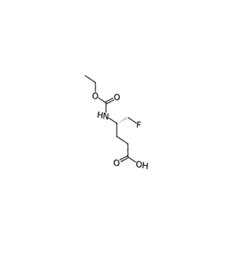 CCOC(=O)N[C@H](CF)CCC(=O)O